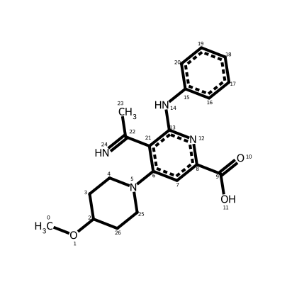 COC1CCN(c2cc(C(=O)O)nc(Nc3ccccc3)c2C(C)=N)CC1